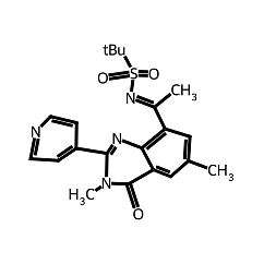 CC(=NS(=O)(=O)C(C)(C)C)c1cc(C)cc2c(=O)n(C)c(-c3ccncc3)nc12